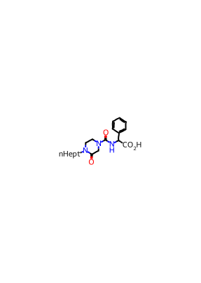 CCCCCCCN1CCN(C(=O)NC(C(=O)O)c2ccccc2)CC1=O